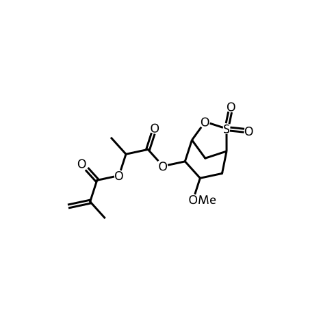 C=C(C)C(=O)OC(C)C(=O)OC1C(OC)CC2CC1OS2(=O)=O